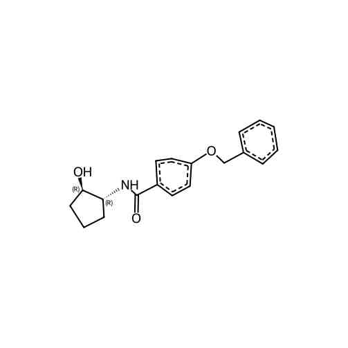 O=C(N[C@@H]1CCC[C@H]1O)c1ccc(OCc2ccccc2)cc1